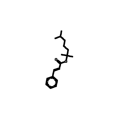 CC(C)CCCC(C)(C)OC(=O)/C=C/c1ccccc1